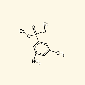 CCOP(=O)(OCC)c1cc(C)cc([N+](=O)[O-])c1